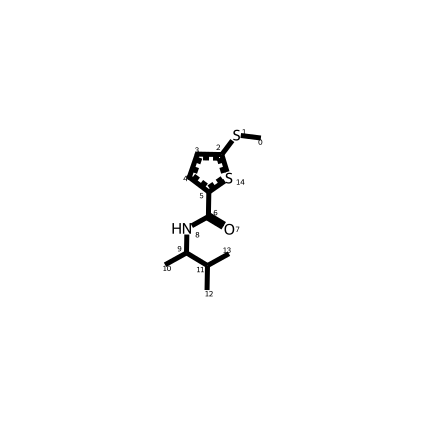 CSc1ccc(C(=O)NC(C)C(C)C)s1